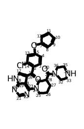 O=C(c1ccc(Oc2ccccc2)cc1Cl)c1c[nH]c2ncnc(N3CCCC(C(=O)N4CCNCC4)C3)c12